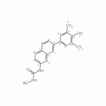 CCC(C)NC(=O)Nc1cnc2ccc(-c3cc(C)c(O)c(C)c3)cc2n1